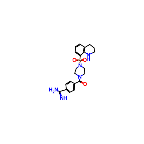 N=C(N)c1ccc(C(=O)N2CCN(S(=O)(=O)c3cccc4c3NCCC4)CC2)cc1